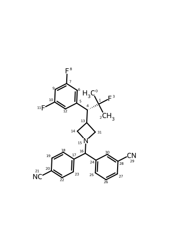 CC(C)(F)[C@@H](c1cc(F)cc(F)c1)C1CN(C(c2ccc(C#N)cc2)c2cccc(C#N)c2)C1